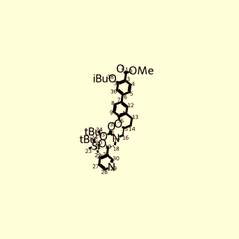 COC(=O)c1ccc(-c2ccc3c(c2)CC[C@@H](CN(C[C@@H](O[Si](C)(C)C(C)(C)C)c2cccnc2)C(=O)OC(C)(C)C)O3)cc1OCC(C)C